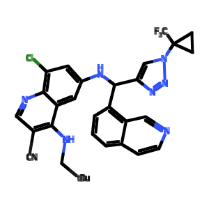 CC(C)(C)CNc1c(C#N)cnc2c(Cl)cc(NC(c3cn(C4(C(F)(F)F)CC4)nn3)c3cccc4ccncc34)cc12